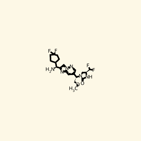 COC[C@H](c1cnn2cc([C@@H](N)C3CCC(F)(F)CC3)nc2c1)N1C[C@@H](C(F)F)NC1=O